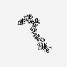 O=C1CCN(c2cc(C(=O)N3CCC4(CCN(CC5CCC(n6cc(NC(=O)c7cnn8ccc(N9CC%10(COC%10)C9)nc78)c(C(F)F)n6)CC5)CC4)CC3)ccc2Cl)C(=O)N1